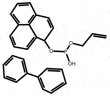 C=CCOP(O)OC1C=Cc2cccc3cccc1c23.c1ccc(-c2ccccc2)cc1